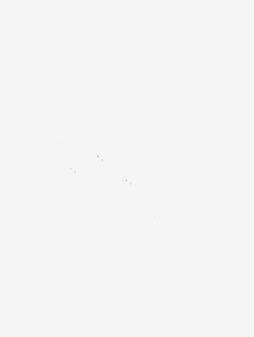 CC(CS(=O)(=O)O)N1CCN(c2ccccc2C#N)CC1